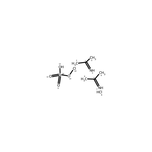 CC(C)=N.CC(C)=N.Cl.O=S(=O)(O)OCl